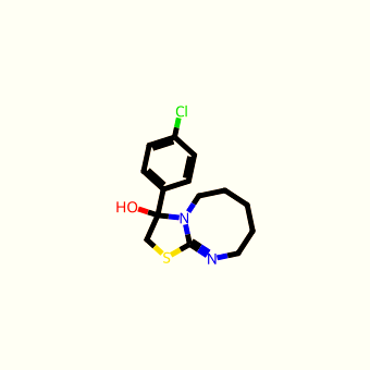 OC1(c2ccc(Cl)cc2)CS/C2=N/CCCCCN21